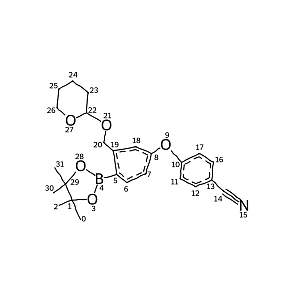 CC1(C)OB(c2ccc(Oc3ccc(C#N)cc3)cc2COC2CCCCO2)OC1(C)C